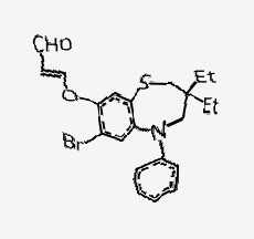 CCC1(CC)CSc2cc(O/C=C/C=O)c(Br)cc2N(c2ccccc2)C1